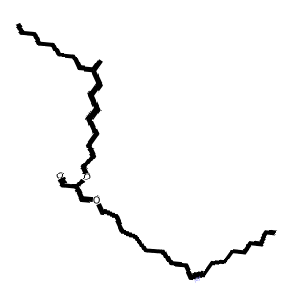 CCCCCCCC/C=C\CCCCCCCCOCC(C=O)OCCCCCCCCC(C)CCCCCCCC